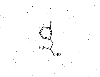 N[C@H](C=O)Cc1cccc(F)c1